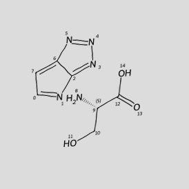 C1=NC2=NN=NC2=C1.N[C@@H](CO)C(=O)O